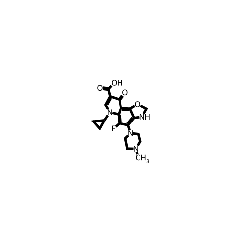 CN1CCN(c2c3c(c4c(=O)c(C(=O)O)cn(C5CC5)c4c2F)OCN3)CC1